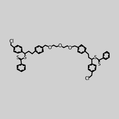 S=C(SC(CCc1ccc(COCCOCCOCc2ccc(CCC(SC(=S)c3ccccc3)c3ccc(CCl)cc3)cc2)cc1)c1ccc(CCl)cc1)c1ccccc1